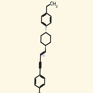 CCc1ccc([C@H]2CC[C@H](/C=C/C#Cc3ccc(F)cc3)CC2)cc1